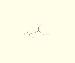 CCCCCCCCCCC(N)CCCCCCCCCC.O=C(O)O